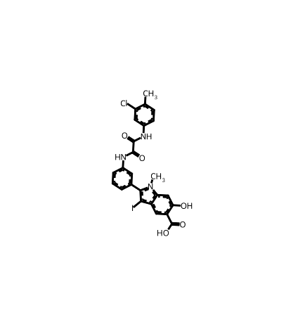 Cc1ccc(NC(=O)C(=O)Nc2cccc(-c3c(I)c4cc(C(=O)O)c(O)cc4n3C)c2)cc1Cl